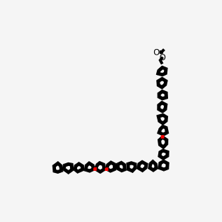 CCOC(C)=O.c1ccccc1.c1ccccc1.c1ccccc1.c1ccccc1.c1ccccc1.c1ccccc1.c1ccccc1.c1ccccc1.c1ccccc1.c1ccccc1.c1ccccc1.c1ccccc1.c1ccccc1.c1ccccc1.c1ccccc1.c1ccccc1.c1ccccc1.c1ccccc1.c1ccccc1